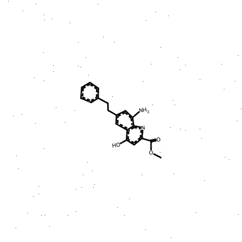 COC(=O)c1cc(O)c2cc(CCc3ccccc3)cc(N)c2n1